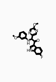 COc1cccc(NC(C(=O)c2c[nH]c3cc(F)ccc23)c2cnc(OC)cn2)c1